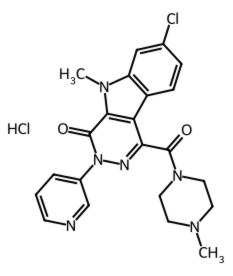 CN1CCN(C(=O)c2nn(-c3cccnc3)c(=O)c3c2c2ccc(Cl)cc2n3C)CC1.Cl